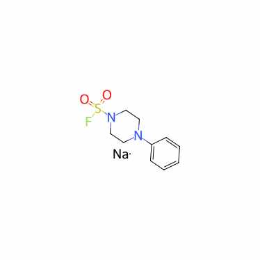 O=S(=O)(F)N1CCN(c2ccccc2)CC1.[Na]